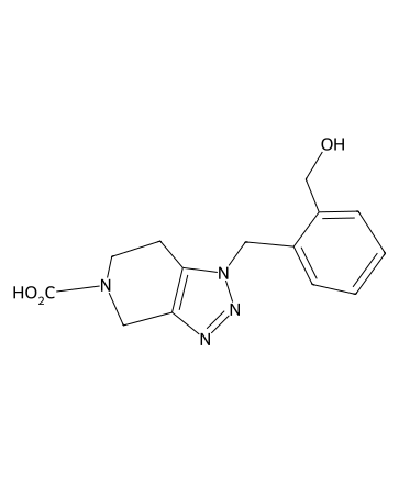 O=C(O)N1CCc2c(nnn2Cc2ccccc2CO)C1